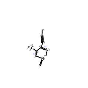 C=N/C=C(\C(C#CC)=N/C)C(F)(F)F